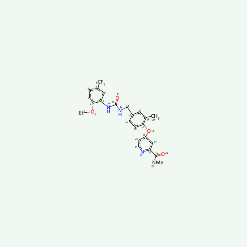 CCOc1ccc(C(F)(F)F)cc1NC(=O)NCc1ccc(Oc2ccnc(C(=O)NC)c2)c(C)c1